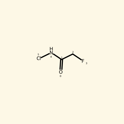 O=C(CF)NCl